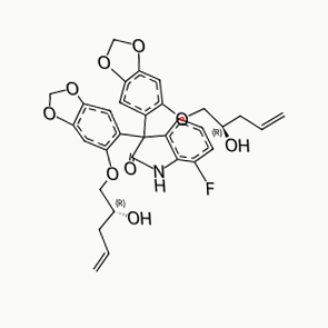 C=CC[C@@H](O)COc1cc2c(cc1C1(c3cc4c(cc3OC[C@H](O)CC=C)OCO4)C(=O)Nc3c(F)cccc31)OCO2